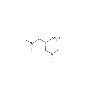 CN(C)CC(CN(C)C)S(=O)(=O)O